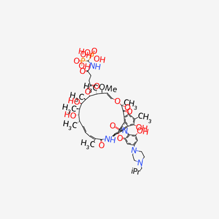 CO[C@H]1/C=C/O[C@@]2(C)Oc3c(C)c(O)c4c(=O)c(c5oc6cc(N7CCN(CC(C)C)CC7)cc(O)c6nc-5c4c3C2=O)NC(=O)/C(C)=C\C=C\[C@H](C)[C@H](O)[C@@H](C)[C@@H](O)[C@@H](C)[C@H](OC(=O)CCC(=O)NC(P(=O)(O)O)P(=O)(O)O)[C@@H]1C